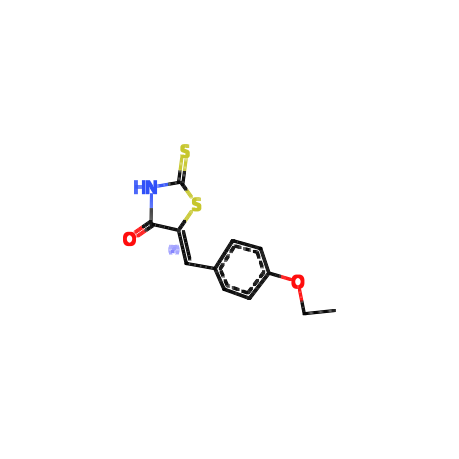 CCOc1ccc(/C=C2\SC(=S)NC2=O)cc1